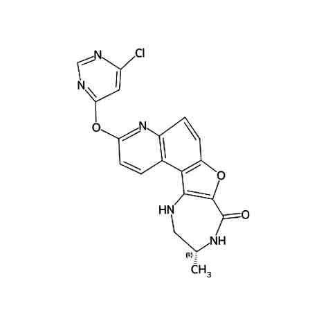 C[C@@H]1CNc2c(oc3ccc4nc(Oc5cc(Cl)ncn5)ccc4c23)C(=O)N1